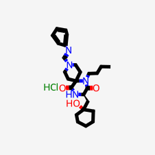 CCCCN1C(=O)[C@@H](CC2(O)CCCCC2)NC(=O)C12CCN(C=Nc1ccccc1)CC2.Cl